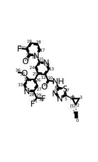 C#C[C@H]1C[C@@H]1c1nnc(NC(=O)c2cnc(-n3cccc(F)c3=O)cc2-c2cc(C(F)F)ncc2OC)s1